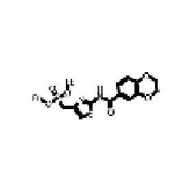 CCOP(=O)(Cc1csc(NC(=O)c2ccc3c(c2)OCCO3)n1)OCC